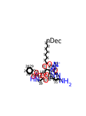 CCCCCCCCCCCCCCCCCC(=O)O[C@@H]1[C@@H](COP(=O)(N[C@@H](C)C(=O)OC(C)C)Oc2ccccc2)O[C@@H](n2ccc(N)nc2=O)[C@]1(C)N=[N+]=[N-]